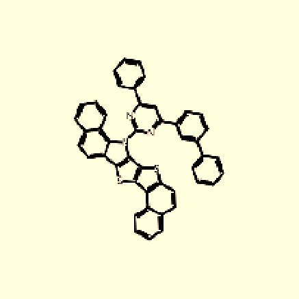 c1ccc(-c2cccc(-c3cc(-c4ccccc4)nc(-n4c5c6ccccc6ccc5c5sc6c(sc7ccc8ccccc8c76)c54)n3)c2)cc1